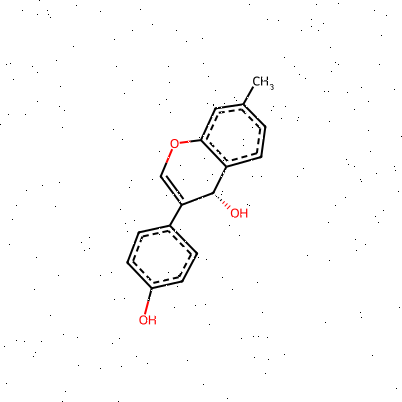 Cc1ccc2c(c1)OC=C(c1ccc(O)cc1)[C@H]2O